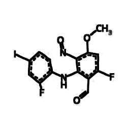 COc1cc(F)c(C=O)c(Nc2ccc(I)cc2F)c1N=O